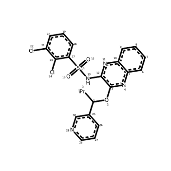 CC(C)C(Oc1nc2ccccc2nc1NS(=O)(=O)c1cccc(Cl)c1Cl)c1cccnc1